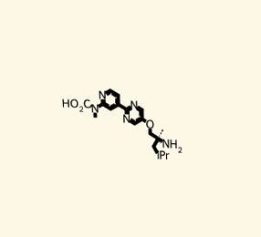 CC(C)C[C@](C)(N)COc1cnc(-c2ccnc(N(C)C(=O)O)c2)nc1